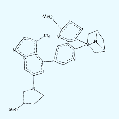 COc1ccc(CN2C3CC2CN(c2ccc(-c4cc(N5CCC(OC)C5)cn5ncc(C#N)c45)cn2)C3)cn1